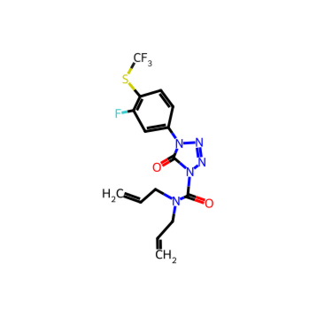 C=CCN(CC=C)C(=O)n1nnn(-c2ccc(SC(F)(F)F)c(F)c2)c1=O